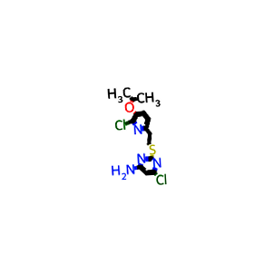 CC(C)Oc1ccc(CCSc2nc(N)cc(Cl)n2)nc1Cl